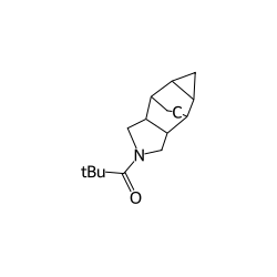 CC(C)(C)C(=O)N1CC2C3CCC(C4CC34)C2C1